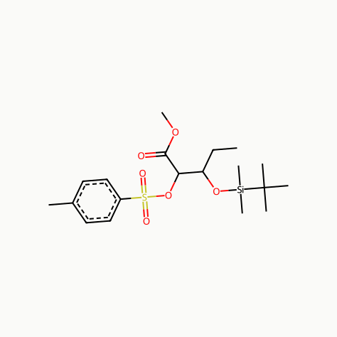 CCC(O[Si](C)(C)C(C)(C)C)C(OS(=O)(=O)c1ccc(C)cc1)C(=O)OC